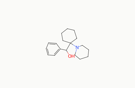 OC(c1ccccc1)C1(N2CCCCC2)CCCCC1